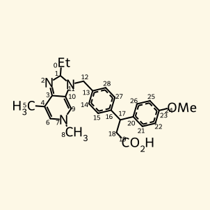 CCC1N=C2C(C)=CN(C)C=C2N1Cc1ccc(C(CC(=O)O)c2ccc(OC)cc2)cc1